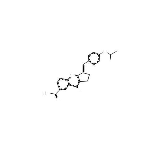 CC(C)Oc1ccc(C=C2CCc3c2oc2ccc(C(=O)O)cc2c3=O)cc1